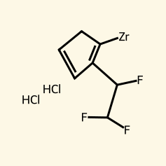 Cl.Cl.FC(F)C(F)C1=[C]([Zr])CC=C1